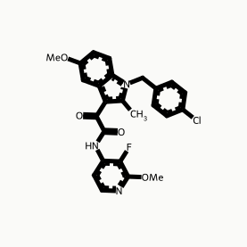 COc1ccc2c(c1)c(C(=O)C(=O)Nc1ccnc(OC)c1F)c(C)n2Cc1ccc(Cl)cc1